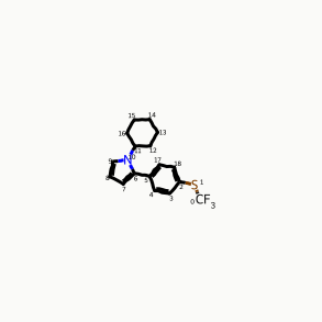 FC(F)(F)Sc1ccc(-c2cccn2C2CCCCC2)cc1